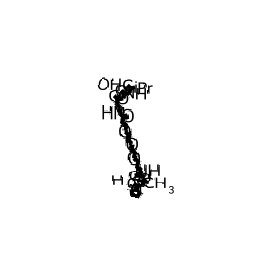 CC(C)C(C=O)NC(=O)OC(=O)CCNC(=O)CCOCCOCCOCCNC(=O)OC(C)(C)CC(=O)N1CCCC1